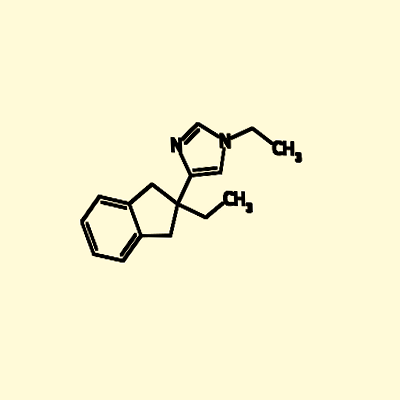 CCn1cnc(C2(CC)Cc3ccccc3C2)c1